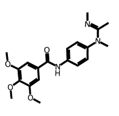 CN=C(C)N(C)c1ccc(NC(=O)c2cc(OC)c(OC)c(OC)c2)cc1